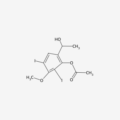 COc1c(I)cc(C(C)O)c(OC(C)=O)c1I